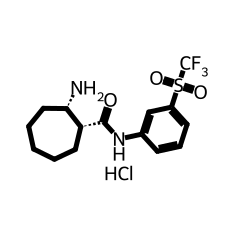 Cl.N[C@H]1CCCCC[C@H]1C(=O)Nc1cccc(S(=O)(=O)C(F)(F)F)c1